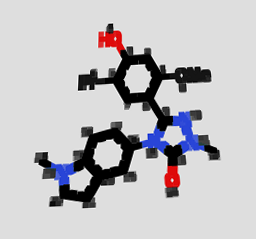 COc1cc(O)c(C(C)C)cc1-c1nn(C)c(=O)n1-c1ccc2c(ccn2C)c1